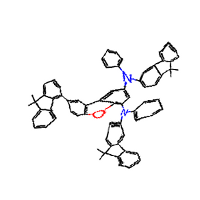 CC1(C)c2ccccc2-c2cc(N(c3ccccc3)c3cc(N(c4ccccc4)c4ccc5c(c4)-c4ccccc4C5(C)C)c4oc5ccc(-c6cccc7c6-c6ccccc6C7(C)C)cc5c4c3)ccc21